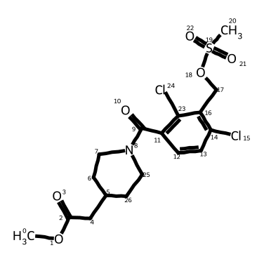 COC(=O)CC1CCN(C(=O)c2ccc(Cl)c(COS(C)(=O)=O)c2Cl)CC1